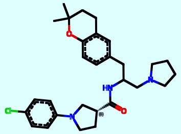 CC1(C)CCc2cc(CC(CN3CCCC3)NC(=O)[C@@H]3CCN(c4ccc(Cl)cc4)C3)ccc2O1